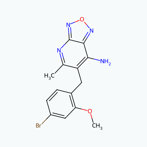 COc1cc(Br)ccc1Cc1c(C)nc2nonc2c1N